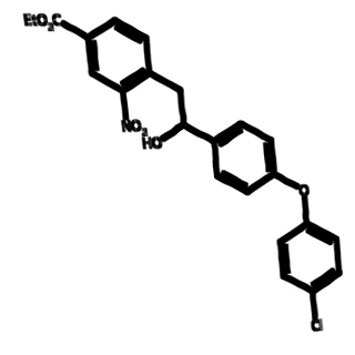 CCOC(=O)c1ccc(CC(O)c2ccc(Oc3ccc(Cl)cc3)cc2)c([N+](=O)[O-])c1